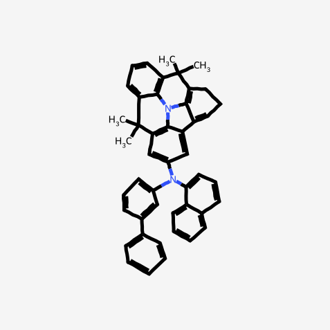 CC1(C)C2=c3c(c4cc(N(c5cccc(-c6ccccc6)c5)c5cccc6ccccc56)cc5c4n3-c3c1cccc3C5(C)C)=CCC2